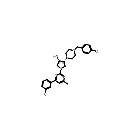 Cc1cc(-c2cccc(Cl)c2)nc(N2C[C@@H](O)[C@H](N3CCN(Cc4ccc(Cl)cc4)CC3)C2)n1